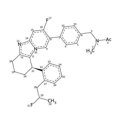 CC(=O)N(C)Cc1ccc(-c2cn3c4c(nc3cc2F)CCC[C@@H]4c2ccccc2CC(C)F)cc1